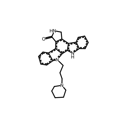 O=C1NCc2c1c1c3ccccc3n(CCCN3CCCCC3)c1c1[nH]c3ccccc3c21